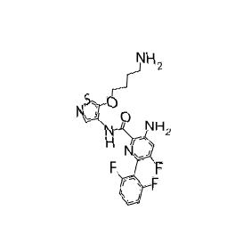 NCCCCOc1sncc1NC(=O)c1nc(-c2c(F)cccc2F)c(F)cc1N